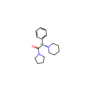 O=C([C@@H](c1ccccc1)N1CCCCC1)N1CCCC1